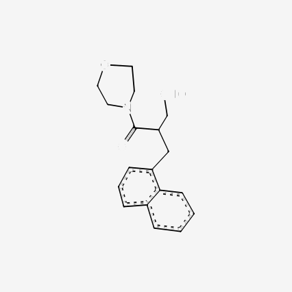 O=CCC(Cc1cccc2ccccc12)C(=O)N1CCOCC1